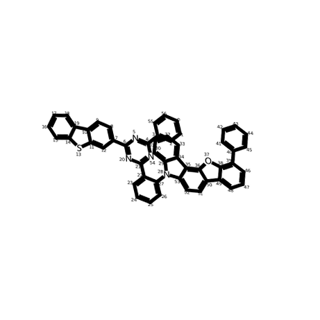 c1ccc(-c2nc(-c3ccc4c(c3)sc3ccccc34)nc(-c3ccccc3-n3c4ccccc4c4c5oc6c(-c7ccccc7)cccc6c5ccc43)n2)cc1